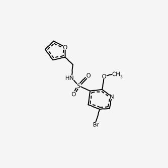 COc1ncc(Br)cc1S(=O)(=O)NCc1ccco1